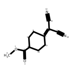 COC(=O)C1CCC(=C(C#N)C#N)CC1